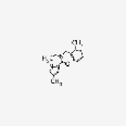 CCN(Cc1ccccc1C)C(=O)n1cc(C)cn1